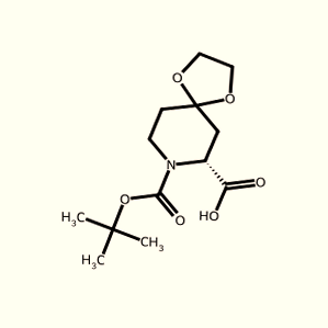 CC(C)(C)OC(=O)N1CCC2(C[C@@H]1C(=O)O)OCCO2